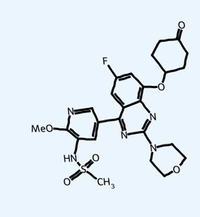 COc1ncc(-c2nc(N3CCOCC3)nc3c(OC4CCC(=O)CC4)cc(F)cc23)cc1NS(C)(=O)=O